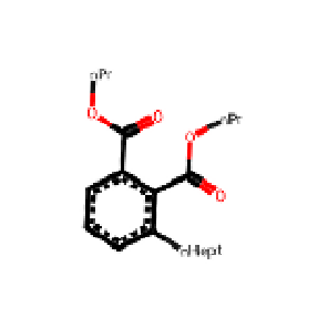 CCCCCCCc1cccc(C(=O)OCCC)c1C(=O)OCCC